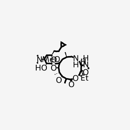 CC[C@H]1OC(=O)C(C)C(=O)[C@H](C)[C@@H](O[C@@H]2O[C@H](CCC3CC3)C[C@H](N(C)C)[C@H]2O)[C@](C)(OC)C[C@@H](C)CN[C@H](C)[C@H]2NCO[C@@]21C